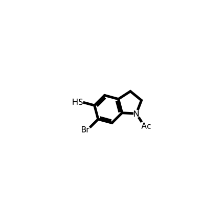 CC(=O)N1CCc2cc(S)c(Br)cc21